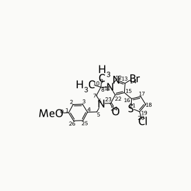 COc1ccc(CN2CC(C)(C)n3nc(Br)c(-c4ccc(Cl)s4)c3C2=O)cc1